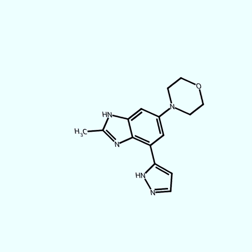 Cc1nc2c(-c3ccn[nH]3)cc(N3CCOCC3)cc2[nH]1